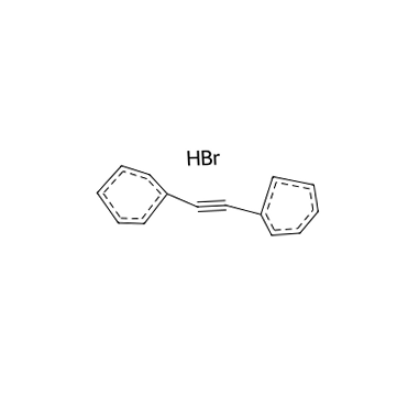 Br.C(#Cc1ccccc1)c1ccccc1